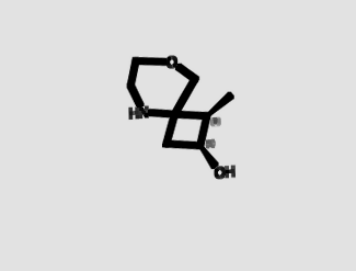 C[C@H]1[C@@H](O)CC12COCCN2